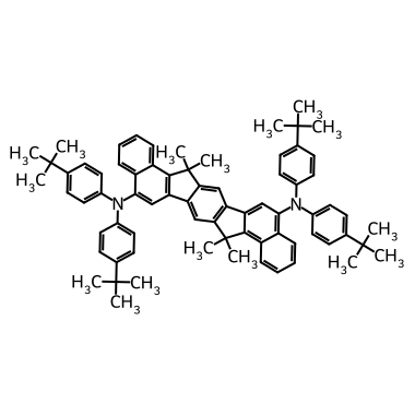 CC(C)(C)c1ccc(N(c2ccc(C(C)(C)C)cc2)c2cc3c(c4ccccc24)C(C)(C)c2cc4c(cc2-3)C(C)(C)c2c-4cc(N(c3ccc(C(C)(C)C)cc3)c3ccc(C(C)(C)C)cc3)c3ccccc23)cc1